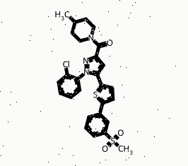 CC1CCN(C(=O)c2cc(-c3ccc(-c4cccc(S(C)(=O)=O)c4)s3)n(-c3ccccc3Cl)n2)CC1